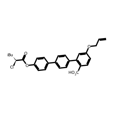 C=CCOc1ccc(C(=O)O)c(-c2ccc(-c3ccc(OC(=O)[C@@H](Cl)[C@@H](C)CC)cc3)cc2)c1